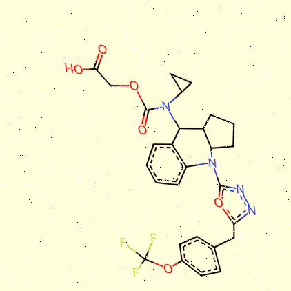 O=C(O)COC(=O)N(C1CC1)C1c2ccccc2N(c2nnc(Cc3ccc(OC(F)(F)F)cc3)o2)C2CCCC21